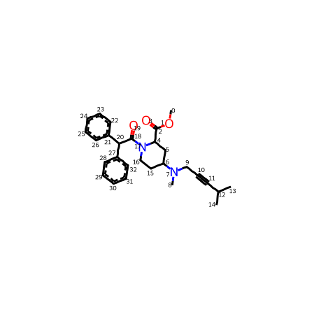 COC(=O)C1CC(N(C)CC#CC(C)C)CCN1C(=O)C(c1ccccc1)c1ccccc1